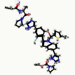 COC(=O)N[C@H](C(=O)N1CCC[C@H]1c1ncc(-c2cc(F)c3c(c2)OC(c2ccc(C(F)(F)F)s2)n2c-3cc3cc(-c4cnc([C@@H]5CCCN5C(=O)OC(C)(C)C)[nH]4)ccc32)[nH]1)C(C)C